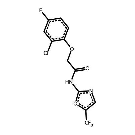 O=C(COc1ccc(F)cc1Cl)Nc1ncc(C(F)(F)F)o1